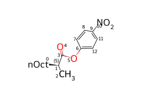 CCCCCCCC[C@H](C)C(=O)Oc1ccc([N+](=O)[O-])cc1